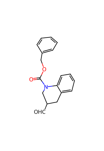 O=CC1Cc2ccccc2N(C(=O)OCc2ccccc2)C1